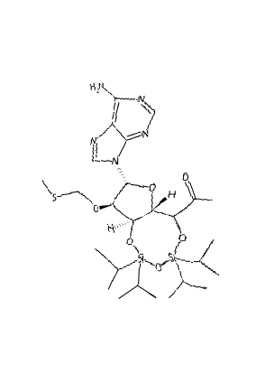 CSCO[C@@H]1[C@@H]2O[Si](C(C)C)(C(C)C)O[Si](C(C)C)(C(C)C)OC(C(C)=O)[C@H]2O[C@H]1n1cnc2c(N)ncnc21